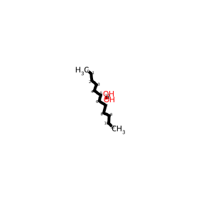 CCCCCCCCCCCC.OO